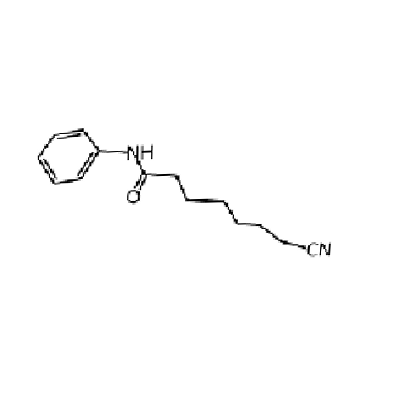 N#CCCCCCCC(=O)Nc1ccccc1